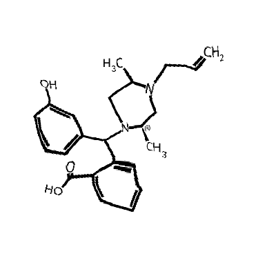 C=CCN1C[C@@H](C)N(C(c2cccc(O)c2)c2ccccc2C(=O)O)CC1C